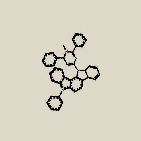 CN1C(c2ccccc2)=NC(N2c3c(ccc4c3c3ccccc3n4-c3ccccc3)C3C=CC=CC32)=NC1c1ccccc1